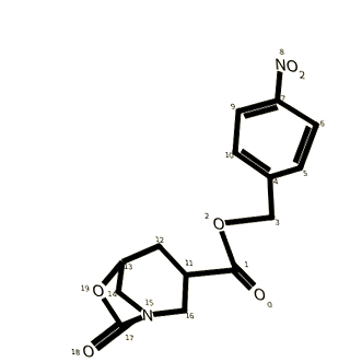 O=C(OCc1ccc([N+](=O)[O-])cc1)C1CC2CN(C1)C(=O)O2